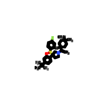 C=C(N1CC[C@](c2ccc(C(C)(C(F)(F)F)C(F)(F)F)cc2)([S+]([O-])c2ccc(F)cc2)C1)C1(CC)CCC(C)(C(=O)O)CC1